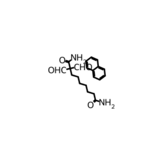 NC(=O)CCCCCCC(C=O)(C=O)C(N)=O.c1ccc2ccccc2c1